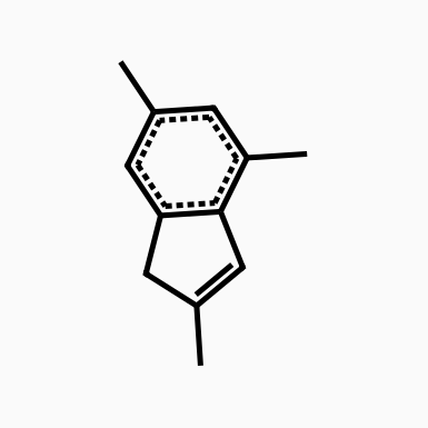 CC1=Cc2c(C)cc(C)cc2C1